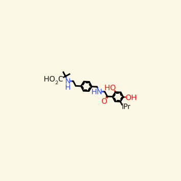 CC(C)c1cc(C(=O)CNCc2ccc(CCNC(C)(C)C(=O)O)cc2)c(O)cc1O